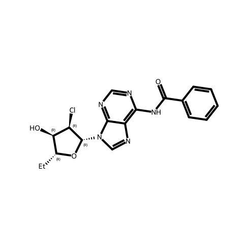 CC[C@H]1O[C@@H](n2cnc3c(NC(=O)c4ccccc4)ncnc32)[C@H](Cl)[C@@H]1O